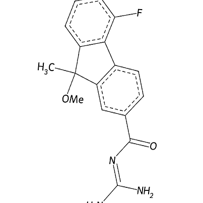 COC1(C)c2cc(C(=O)N=C(N)N)ccc2-c2c(F)cccc21